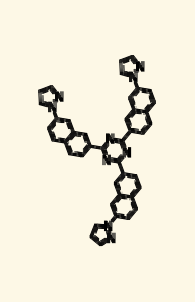 c1cnn(-c2ccc3ccc(-c4nc(-c5ccc6ccc(-n7cccn7)cc6c5)nc(-c5ccc6ccc(-n7cccn7)cc6c5)n4)cc3c2)c1